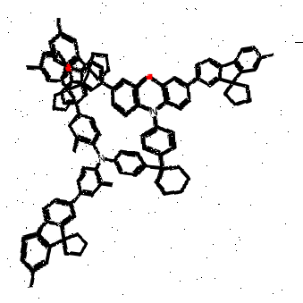 Cc1ccc2c(c1)C1(CCCC1)c1cc(-c3ccc(N(c4ccc(C5(c6ccc(N(c7ccc(-c8ccc9c(c8)C8(CCCC8)c8cc(C)ccc8-9)cc7C)c7ccc(-c8ccc9c(c8)C8(CCCC8)c8cc(C)ccc8-9)cc7C)cc6)CCCCC5)cc4)c4ccc(-c5ccc6c(c5)C5(CCCC5)c5cc(C)ccc5-6)cc4C)c(C)c3)ccc1-2